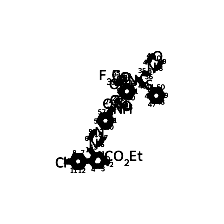 CCOC(=O)C1(C)CCC(c2ccc(Cl)cc2)=C(CN2CCN(c3ccc(C(=O)NS(=O)(=O)c4ccc(N[C@H](CCN5CCOCC5)CSc5ccccc5)c(S(=O)(=O)C(F)(F)F)c4)cc3)CC2)C1